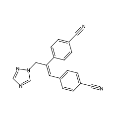 N#Cc1ccc(/C=C(/Cn2cncn2)c2ccc(C#N)cc2)cc1